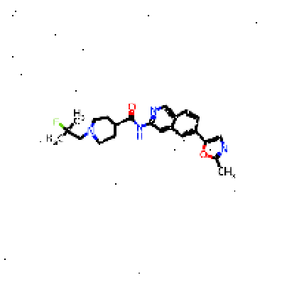 Cc1ncc(-c2ccc3cnc(NC(=O)C4CCN(CC(C)(C)F)CC4)cc3c2)o1